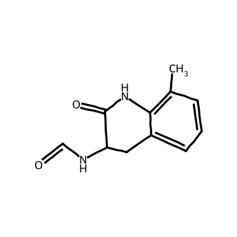 Cc1cccc2c1NC(=O)C(NC=O)C2